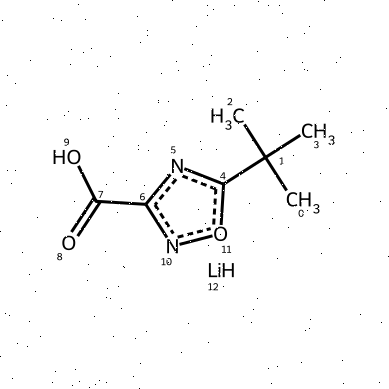 CC(C)(C)c1nc(C(=O)O)no1.[LiH]